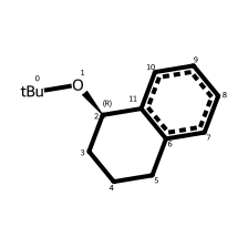 CC(C)(C)O[C@@H]1CCCc2ccccc21